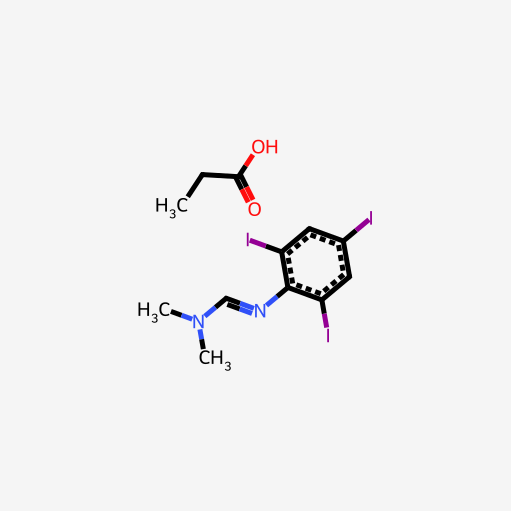 CCC(=O)O.CN(C)C=Nc1c(I)cc(I)cc1I